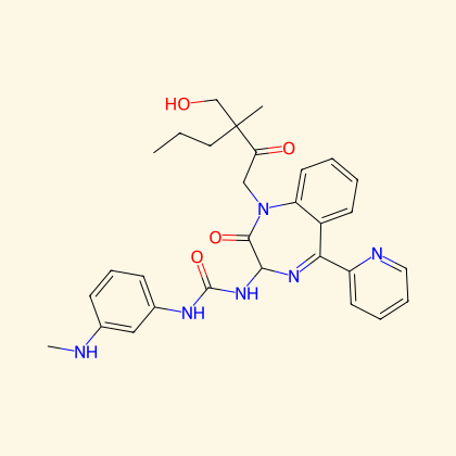 CCCC(C)(CO)C(=O)CN1C(=O)C(NC(=O)Nc2cccc(NC)c2)N=C(c2ccccn2)c2ccccc21